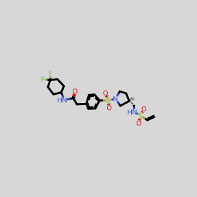 C=CS(=O)(=O)NC[C@H]1CCN(S(=O)(=O)c2ccc(CC(=O)NC3CCC(F)(F)CC3)cc2)C1